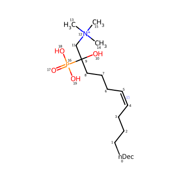 CCCCCCCCCCCCC/C=C\CCCC(O)(C[N+](C)(C)C)P(=O)(O)O